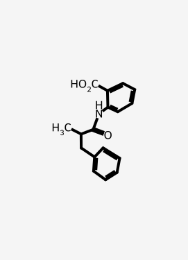 CC(Cc1ccccc1)C(=O)Nc1ccccc1C(=O)O